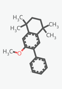 COc1cc2c(cc1-c1c[c]ccc1)C(C)(C)CCC2(C)C